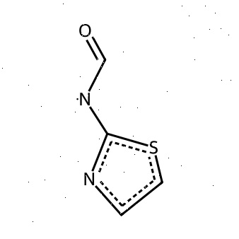 O=C[N]c1nccs1